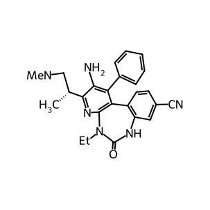 CCN1C(=O)Nc2cc(C#N)ccc2-c2c1nc([C@H](C)CNC)c(N)c2-c1ccccc1